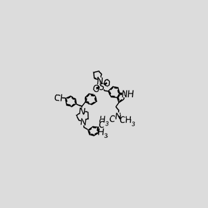 CN(C)CCc1c[nH]c2ccc(CS(=O)(=O)N3CCCC3)cc12.Cc1cccc(CN2CCN(C(c3ccccc3)c3ccc(Cl)cc3)CC2)c1